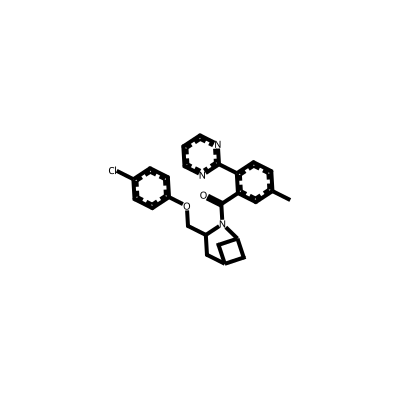 Cc1ccc(-c2ncccn2)c(C(=O)N2C(COc3ccc(Cl)cc3)CC3CC2C3)c1